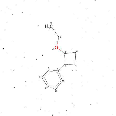 CCOC1CCC1c1ccccc1